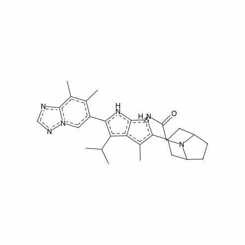 Cc1c(-c2[nH]c3sc(C4CC5CCC(C4)N5CC(N)=O)c(C)c3c2C(C)C)cn2ncnc2c1C